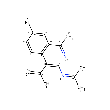 C=C(C)/C(=C\N=C(C)C)c1ccc(CC)cc1C(C)=N